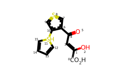 O=C(O)C(O)=CC(=O)c1cscc1[SH]1C=CC=C1